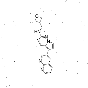 c1cnc2ncc(-c3ccn4nc(NCC5COC5)ncc34)cc2c1